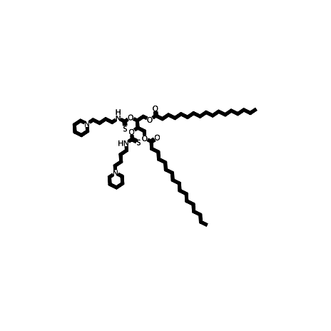 CCCCCCCCCCCCCCCCC(=O)OCC(OC(=S)NCCCCN1CCCCC1)C(COC(=O)CCCCCCCCCCCCCCCC)OC(=S)NCCCCN1CCCCC1